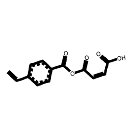 C=Cc1ccc(C(=O)OC(=O)/C=C\C(=O)O)cc1